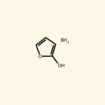 B.Oc1ccco1